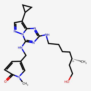 C[C@H](CCO)CCCCNc1nc(NCc2ccc(=O)n(C)c2)n2ncc(C3CC3)c2n1